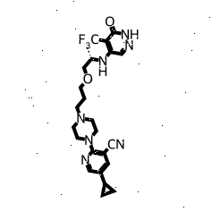 C[C@@H](COCCCN1CCN(c2ncc(C3CC3)cc2C#N)CC1)Nc1cn[nH]c(=O)c1C(F)(F)F